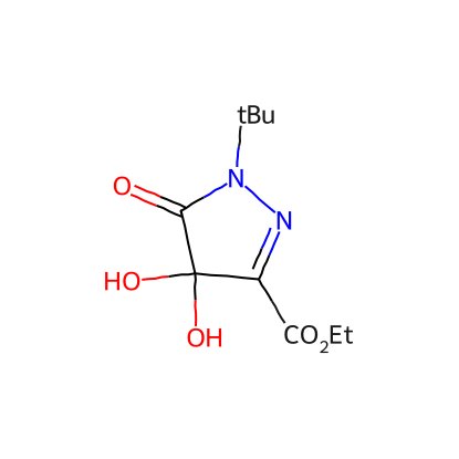 CCOC(=O)C1=NN(C(C)(C)C)C(=O)C1(O)O